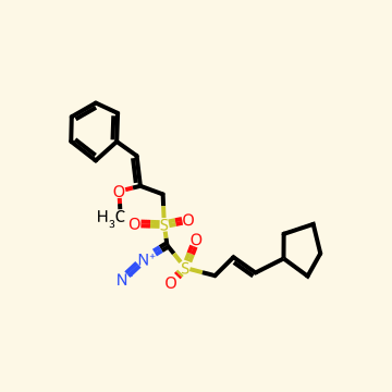 COC(=Cc1ccccc1)CS(=O)(=O)C(=[N+]=[N-])S(=O)(=O)CC=CC1CCCC1